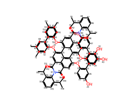 Cc1ccc(-c2cc(C)ccc2Oc2cc3c4c(cc(Oc5ccc(O)cc5-c5ccc(O)cc5)c5c6c(Oc7ccc(O)cc7-c7ccc(O)cc7)cc7c8c(cc(Oc9ccc(C)cc9-c9ccc(C)cc9)c(c2c45)c86)C(=O)N(c2c(C(C)C)cccc2C(C)C)C7=O)C(=O)N(c2c(C(C)C)cccc2C(C)C)C3=O)cc1